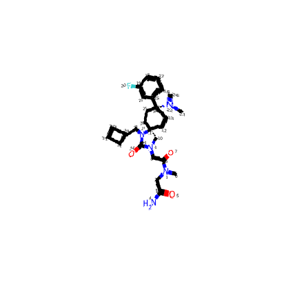 CN(CC(N)=O)C(=O)CN1C[C@]2(CC[C@@](c3cccc(F)c3)(N(C)C)CC2)N(CC2CCC2)C1=O